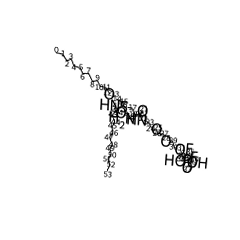 CCCCCCCCCCCCOC[C@H](CSC[C@H](N)C(=O)NCCOCCOCCOCC(F)(F)P(=O)(O)O)NC(=O)CCCCCCCCCCC